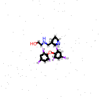 Ic1cc(I)c(Oc2c(I)cc(I)cc2I)c(I)c1.OCCNCc1cccnc1